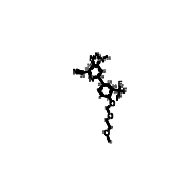 COCCOCOc1ccc(-c2cc3c(nnn3C)c(C#N)n2)cc1C(F)(F)F